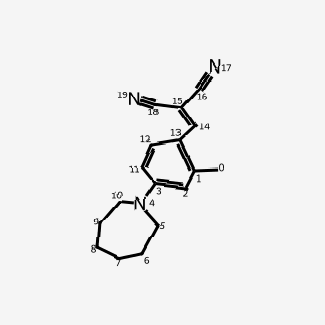 Cc1cc(N2CCCCCC2)ccc1C=C(C#N)C#N